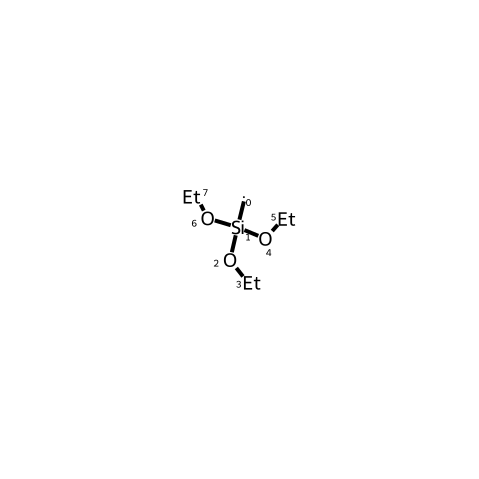 [CH2][Si](OCC)(OCC)OCC